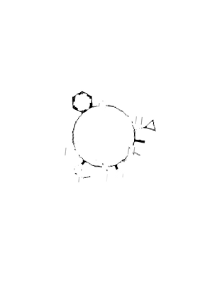 C=C1[C@H](C2CC2)NCCOc2ccccc2CC[C@@H](C)NC(=O)[C@@H](CC(C)C)NC(=O)[C@@H](C)N1C